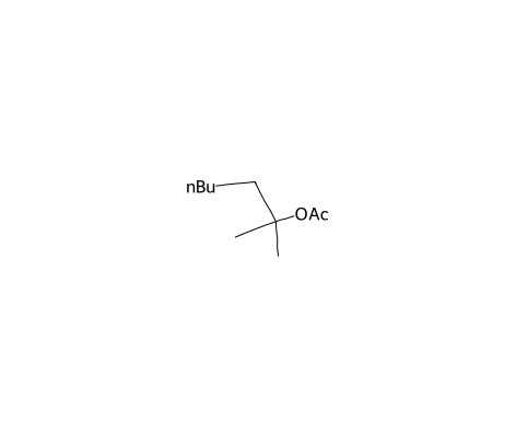 CCCCCC(C)(C)OC(C)=O